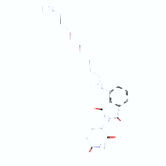 NCCOCCOCCCNc1cccc2c1C(=O)N(C1CCC(=O)NC1=O)C2=O